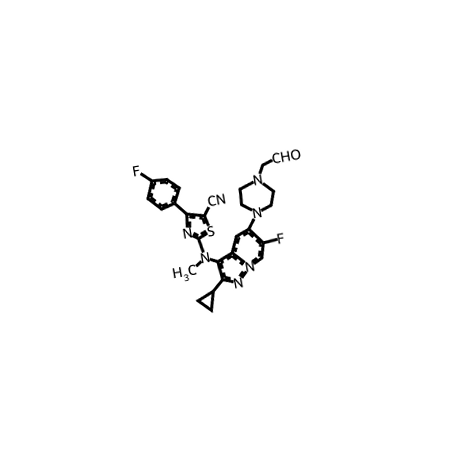 CN(c1nc(-c2ccc(F)cc2)c(C#N)s1)c1c(C2CC2)nn2cc(F)c(N3CCN(CC=O)CC3)cc12